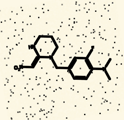 CN(C)c1ccc(CN2CCCNC2=C[N+](=O)[O-])cc1F